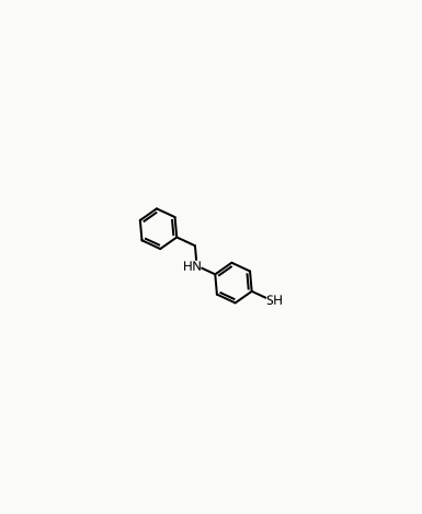 Sc1ccc(NCc2ccccc2)cc1